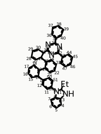 CCC1Nc2ccccc2N1c1ccc(-c2ccccc2-c2ccccc2C2C=CC=CC2c2nc(-c3ccccc3)nc(-c3ccccc3)n2)cc1